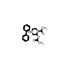 CC(=O)OC1CNCCN1C(C)=O.c1ccc(-c2ccccc2)cc1